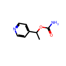 CC(OC(N)=O)c1ccncc1